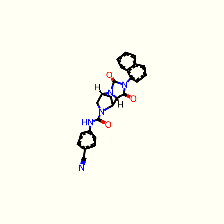 N#Cc1ccc(NC(=O)N2C[C@H]3CC2[C@H]2C(=O)N(c4cccc5ccccc45)C(=O)N32)cc1